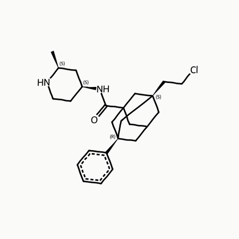 C[C@H]1C[C@@H](NC(=O)C23CC4C[C@@](CCCl)(C2)C[C@](c2ccccc2)(C4)C3)CCN1